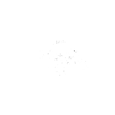 CC(=O)NCCOC[C@@]1(OC(=O)C(F)(F)F)CCCC[C@@H]1n1cnc(C(=O)N2CCNC[C@H]2Cc2ccccc2)c1-c1ccccc1